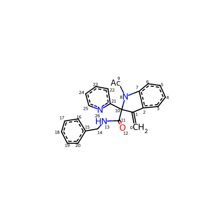 C=C1c2ccccc2N(C(C)=O)C1(C(=O)NCc1ccccc1)c1ccccn1